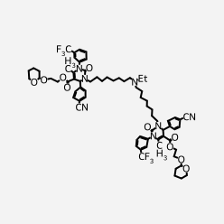 CCN(CCCCCCCCN1C(=O)N(c2cccc(C(F)(F)F)c2)C(C)=C(C(=O)OCCOC2CCCCO2)C1c1ccc(C#N)cc1)CCCCCCCCN1C(=O)N(c2cccc(C(F)(F)F)c2)C(C)=C(C(=O)OCCOC2CCCCO2)C1c1ccc(C#N)cc1